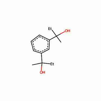 CCC(C)(O)c1cccc(C(C)(O)CC)c1